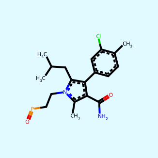 Cc1ccc(-c2c(C(N)=O)c(C)n(CCP=O)c2CC(C)C)cc1Cl